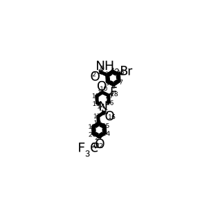 NC(=O)c1cc(Br)ccc1O[C@H]1CCN(C(=O)Cc2ccc(OC(F)(F)F)cc2)C[C@@H]1F